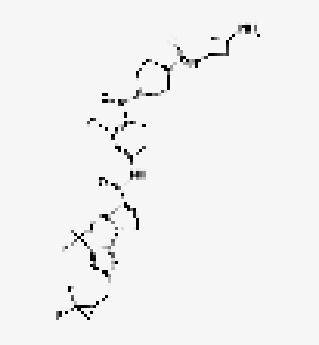 Cn1c(-c2cn(CC3CC3(F)F)nc2C(F)(F)F)cnc1C(=O)Nc1ccc(C(=O)N2CCN(C(=O)NC3CC(N)C3)CC2)c(Cl)c1